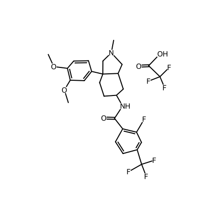 COc1ccc(C23CCC(NC(=O)c4ccc(C(F)(F)F)cc4F)CC2CN(C)C3)cc1OC.O=C(O)C(F)(F)F